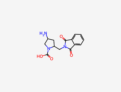 NC1CC(CN2C(=O)c3ccccc3C2=O)N(C(=O)O)C1